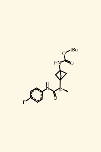 C[C@@H](C(=O)Nc1ccc(F)cc1)C12CC(NC(=O)OC(C)(C)C)(C1)C2